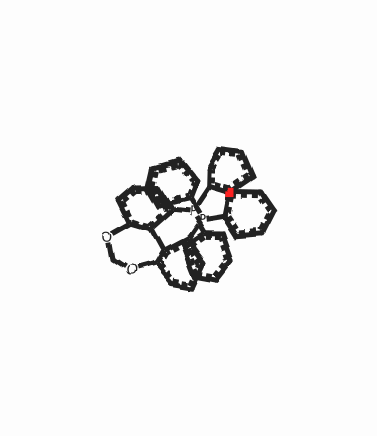 c1ccc(P(c2ccccc2)c2cccc3c2-c2c(cccc2P(c2ccccc2)c2ccccc2)OCO3)cc1